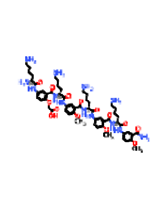 COc1ccc(NC(=O)[C@H](CCCCN)NC(=O)c2cc(NC(=O)[C@H](CCCCN)NC(=O)c3cc(NC(=O)[C@H](CCCCN)NC(=O)c4cc(NC(=O)[C@@H](N)CCCCN)ccc4OCC(=O)O)ccc3OC)ccc2OC)cc1C(N)=O